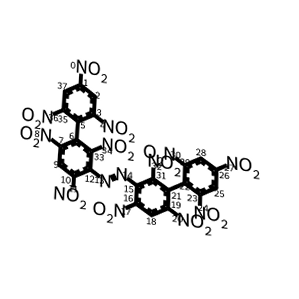 O=[N+]([O-])c1cc([N+](=O)[O-])c(-c2c([N+](=O)[O-])cc([N+](=O)[O-])c(N=Nc3c([N+](=O)[O-])cc([N+](=O)[O-])c(-c4c([N+](=O)[O-])cc([N+](=O)[O-])cc4[N+](=O)[O-])c3[N+](=O)[O-])c2[N+](=O)[O-])c([N+](=O)[O-])c1